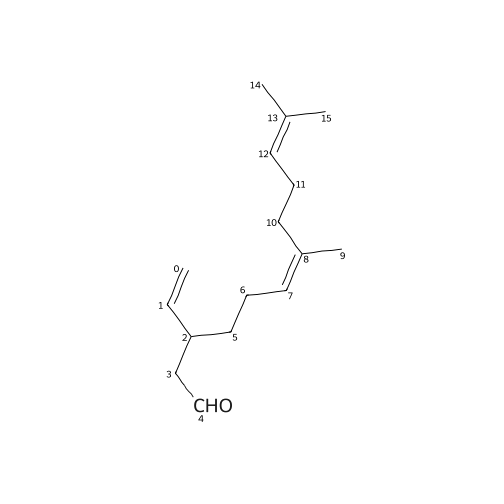 C=CC(CC=O)CCC=C(C)CCC=C(C)C